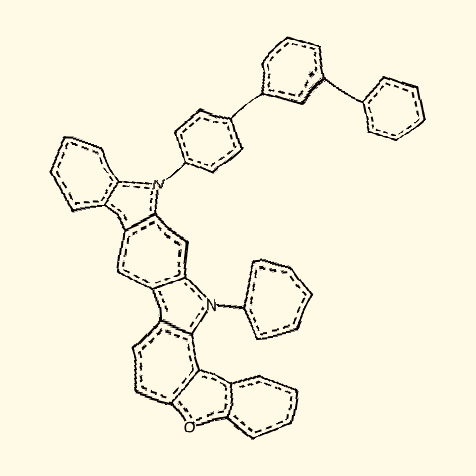 c1ccc(-c2cccc(-c3ccc(-n4c5ccccc5c5cc6c7ccc8oc9ccccc9c8c7n(-c7ccccc7)c6cc54)cc3)c2)cc1